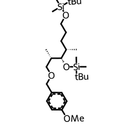 COc1ccc(COC[C@H](C)[C@@H](O[Si](C)(C)C(C)(C)C)[C@@H](C)CCCO[Si](C)(C)C(C)(C)C)cc1